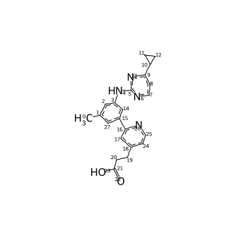 Cc1cc(Nc2nccc(C3CC3)n2)cc(-c2cc(CCC(=O)O)ccn2)c1